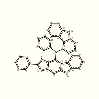 c1ccc(-c2nc3c(N(c4ccccc4)c4cccc5sc6ccccc6c45)c4c(cc3o2)oc2ccccc24)cc1